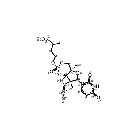 CCOC(=O)C(C)CCO[P@]1(=O)OC[C@H]2O[C@@H](n3ccc(=O)[nH]c3=O)[C@](C)(N=[N+]=[N-])[C@@H]2O1